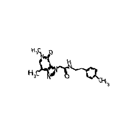 Cc1ccc(CCNC(=O)Cn2cnc3c(C)cn(C)c(=O)c32)cc1